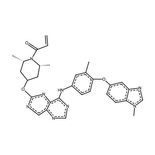 C=CC(=O)N1[C@H](C)CC(Oc2ncc3ncnc(Nc4ccc(Oc5ccc6c(c5)ncn6C)c(C)c4)c3n2)C[C@@H]1C